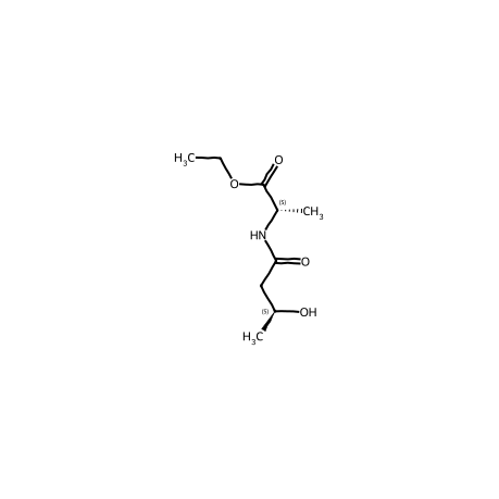 CCOC(=O)[C@H](C)NC(=O)C[C@H](C)O